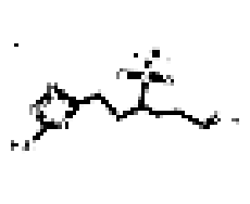 C=CCCC(CCc1nnc(C)o1)S(N)(=O)=O